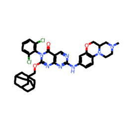 CN1CCN2c3ccc(Nc4ncc5c(=O)n(-c6c(Cl)cccc6Cl)c(OCC67CC8CC(CC(C8)C6)C7)nc5n4)cc3OCC2C1